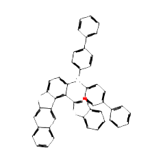 c1ccc(-c2ccc(N(c3ccc(-c4ccccc4)cc3)c3ccc4sc5cc6ccccc6cc5c4c3-c3nc4ccccc4o3)cc2)cc1